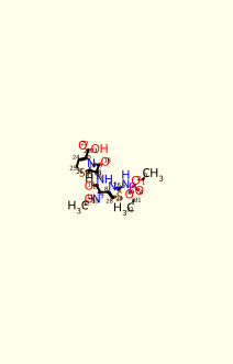 CCOP(=O)(Nc1nc(/C(=N/OC)C(=O)N[C@@H]2C(=O)N3C(C(=O)O)=CCS[C@H]23)cs1)OCC